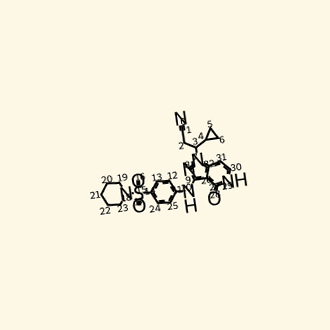 N#CCC(C1CC1)n1nc(Nc2ccc(S(=O)(=O)N3CCCCC3)cc2)c2c(=O)[nH]ccc21